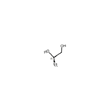 [CH2]C[C@@H](O)CO